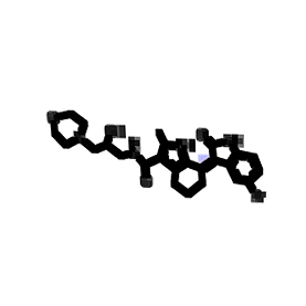 Cc1[nH]c2c(c1C(=O)NCC(O)CN1CCOCC1)CCC/C2=C1/C(=O)Nc2ccc(Br)cc21